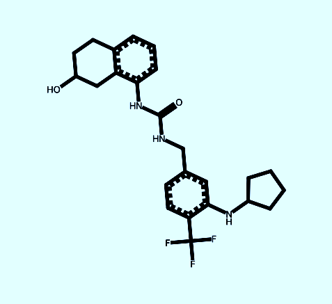 O=C(NCc1ccc(C(F)(F)F)c(NC2CCCC2)c1)Nc1cccc2c1CC(O)CC2